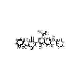 CCC(CC)n1cc(C(=O)N[C@H](Cc2cccnc2)C(=O)OC)c(=O)c2cc(F)c(NC3CCCCC3)cc21